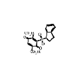 CCOC(=O)C1=CC(=O)C(C(=O)OCC)=C(S(=O)(=O)C2CCc3ccccc32)C1=O